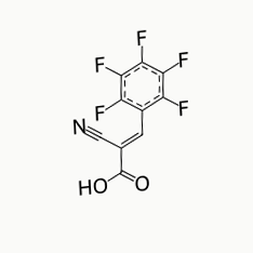 N#CC(=Cc1c(F)c(F)c(F)c(F)c1F)C(=O)O